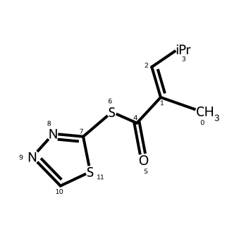 CC(=CC(C)C)C(=O)Sc1nncs1